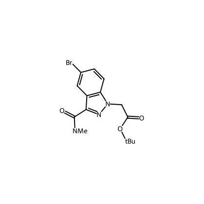 CNC(=O)c1nn(CC(=O)OC(C)(C)C)c2ccc(Br)cc12